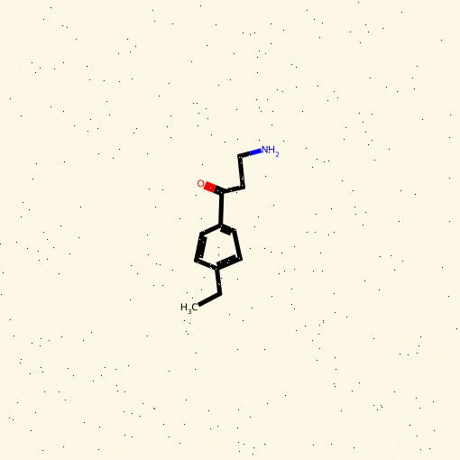 CCc1ccc(C(=O)CCN)cc1